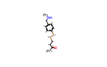 CC(C)NCc1ccc(SSCCC(=O)C(C)C)cc1